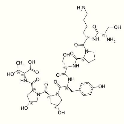 C[C@@H](O)[C@H](NC(=O)[C@@H]1C[C@@H](O)CN1C(=O)[C@@H]1C[C@@H](O)CN1C(=O)[C@H](Cc1ccc(O)cc1)NC(=O)[C@H](CO)NC(=O)[C@@H]1CCCN1C(=O)[C@H](CCCCN)NC(=O)[C@@H](N)CO)C(=O)O